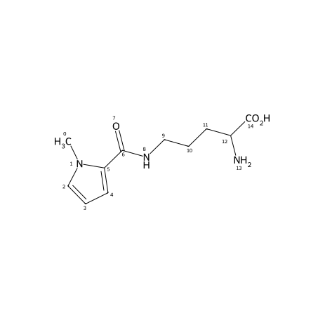 Cn1cccc1C(=O)NCCCC(N)C(=O)O